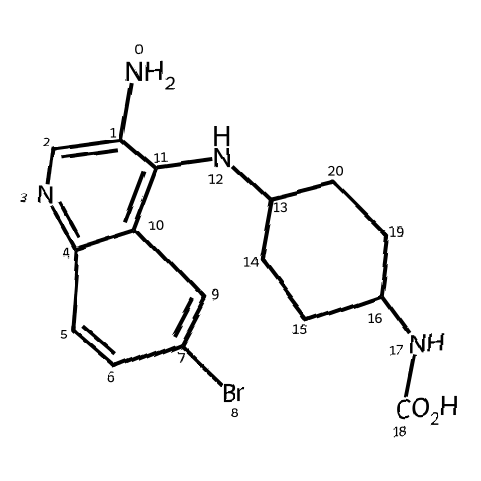 Nc1cnc2ccc(Br)cc2c1NC1CCC(NC(=O)O)CC1